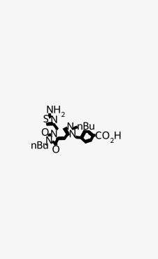 CCCCc1ncc(/C=C2/C(=O)N(CCCC)C(=O)N2Cc2csc(N)n2)n1Cc1ccc(C(=O)O)cc1